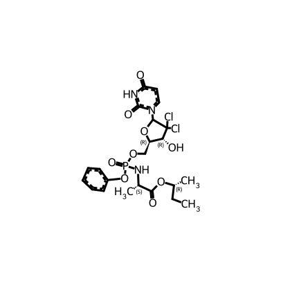 CC[C@@H](C)OC(=O)[C@H](C)NP(=O)(OC[C@H]1OC(n2ccc(=O)[nH]c2=O)C(Cl)(Cl)[C@@H]1O)Oc1ccccc1